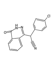 N#CC(c1ccc(Cl)cc1)c1n[nH]c(=O)c2ccccc12